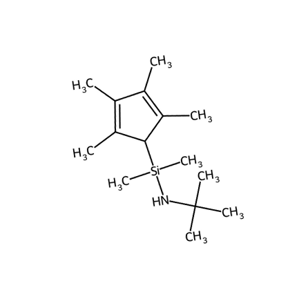 CC1=C(C)C([Si](C)(C)NC(C)(C)C)C(C)=C1C